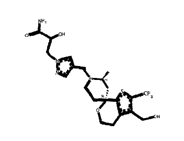 C[C@H]1C[C@@]2(CCN1Cc1cnn(CC(O)C(N)=O)c1)OCCc1c2sc(C(F)(F)F)c1CO